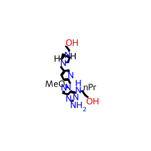 CCC[C@@H](CCO)Nc1nc(N)nc2cnn(Cc3ncc(CN4C[C@@H]5C[C@H]4CN5CCO)cc3OC)c12